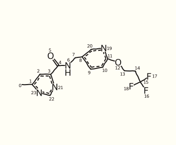 Cc1cc(C(=O)NCc2ccc(OCCC(F)(F)F)nc2)ncn1